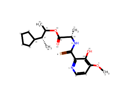 COc1ccnc(C(=S)N[C@@H](C)C(=O)OC(C)[C@H](C)C2CCCC2)c1O